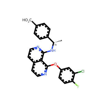 C[C@H](Nc1nccc2ccnc(Oc3ccc(F)c(Cl)c3)c12)c1ccc(C(=O)O)cc1